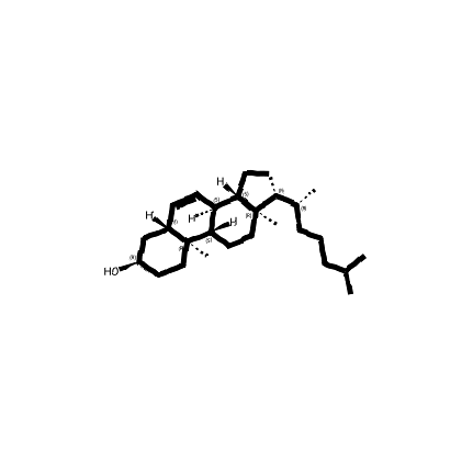 CC(C)CCC[C@@H](C)[C@H]1CC[C@H]2[C@@H]3C=C[C@H]4C[C@H](O)CC[C@]4(C)[C@H]3CC[C@]12C